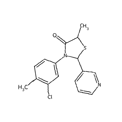 Cc1ccc(N2C(=O)C(C)SC2c2cccnc2)cc1Cl